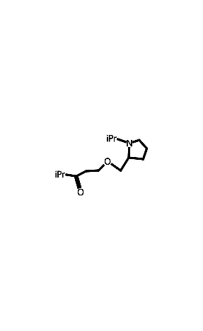 CC(C)C(=O)CCOCC1CCCN1C(C)C